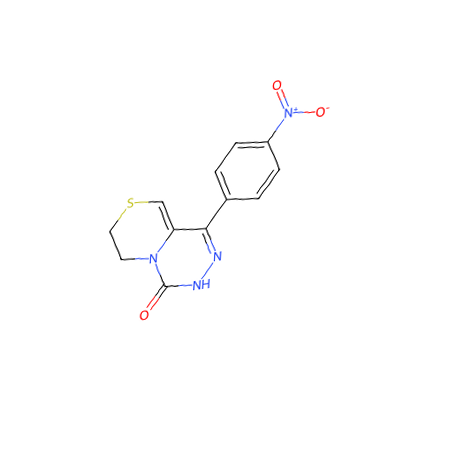 O=C1NN=C(c2ccc([N+](=O)[O-])cc2)C2=CSCCN12